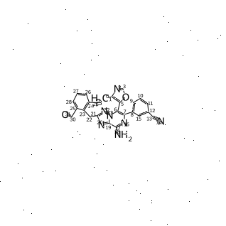 Cc1ncoc1-c1c(-c2cccc(C#N)c2)nc(N)c2nc(Cc3c(F)cccc3C=O)nn12